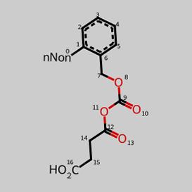 CCCCCCCCCc1ccccc1COC(=O)OC(=O)CCC(=O)O